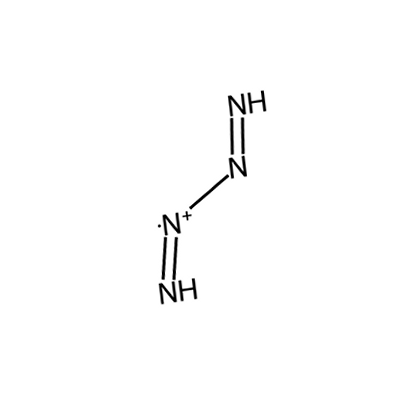 N=N[N+]=N